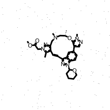 COC(=O)Cn1nc2c(c1C)/C=C/c1nn(C3CCCCO3)c3ccc(cc13)-c1cnn(C)c1O[C@@H](C)CN(C)C2